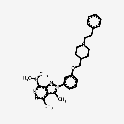 Cc1nnc(N(C)C)c2nn(-c3cccc(OCC4CCN(CCc5ccccc5)CC4)c3)c(C)c12